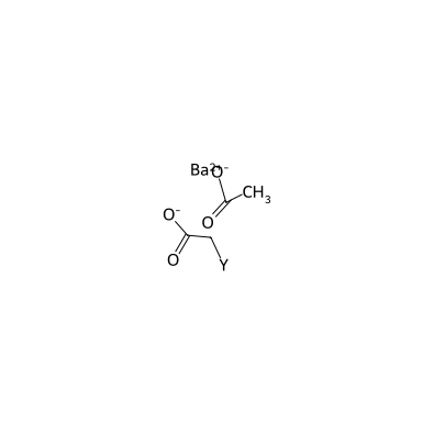 CC(=O)[O-].O=C([O-])[CH2][Y].[Ba+2]